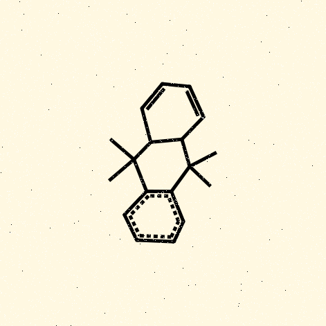 CC1(C)c2ccccc2C(C)(C)C2C=CC=CC21